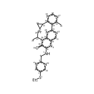 CCSc1cnc(CNc2nc3cnc(-c4c(C)ncnc4C4CC4)nc3n(C(C)C(C)C)c2=O)nc1